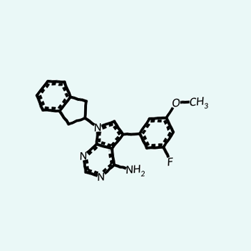 COc1cc(F)cc(-c2cn(C3Cc4ccccc4C3)c3ncnc(N)c23)c1